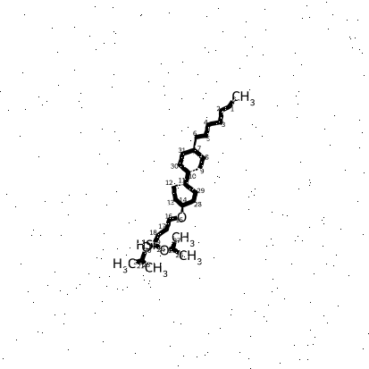 CCCCCCC[C@H]1CC[C@H]([C@H]2CC[C@H](OCCC[SiH](OC(C)C)OC(C)C)CC2)CC1